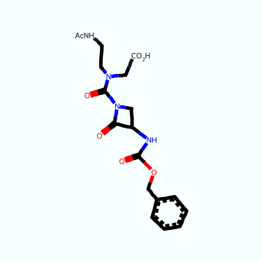 CC(=O)NCCN(CC(=O)O)C(=O)N1CC(NC(=O)OCc2ccccc2)C1=O